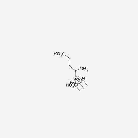 CC(=O)O.CC(=O)O.CC(=O)O.NC(CCC(=O)O)C(=O)O